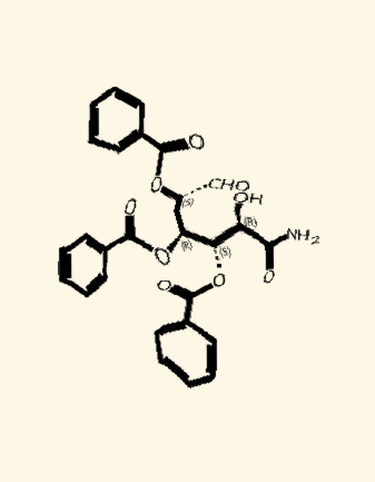 NC(=O)[C@H](O)[C@H](OC(=O)c1ccccc1)[C@@H](OC(=O)c1ccccc1)[C@@H](C=O)OC(=O)c1ccccc1